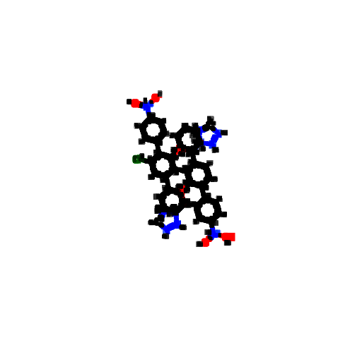 O=[N+]([O-])c1ccc(-c2c(Cl)cc(-c3ccccc3)c(-c3c(-c4ccccc4)ccc(-c4ccc([N+](=O)O)cc4)c3OCN3N=[C+]N=N3)c2OCN2N=[C+]N=N2)cc1